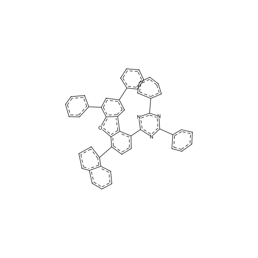 c1ccc(-c2cc(-c3ccccc3)c3oc4c(-c5cccc6ccccc56)ccc(-c5nc(-c6ccccc6)nc(-c6ccccc6)n5)c4c3c2)cc1